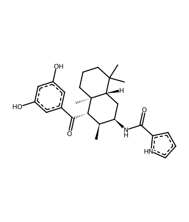 C[C@@H]1[C@H](NC(=O)c2ccc[nH]2)C[C@H]2C(C)(C)CCC[C@]2(C)[C@H]1C(=O)c1cc(O)cc(O)c1